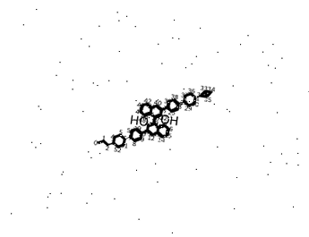 CCC[C@H]1CC[C@H](c2ccc(-c3cc4ccccc4c(-c4c(O)c(-c5ccc([C@H]6CC[C@H](C7C8CC87)CC6)cc5)cc5ccccc45)c3O)cc2)CC1